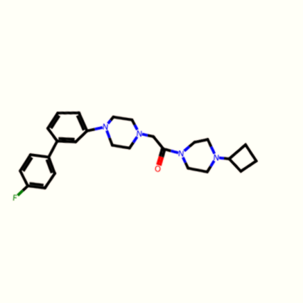 O=C(CN1CCN(c2cccc(-c3ccc(F)cc3)c2)CC1)N1CCN(C2CCC2)CC1